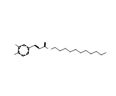 CCCCCCCCCCCOC(=O)C=Cc1ccc(O)c(O)c1